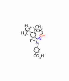 Cc1cc2c(cc1C(/C=C/c1ccc(C(=O)O)cc1)=N\O)C(C)(C)CCC2(C)C